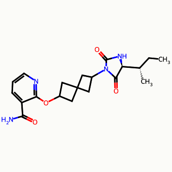 CC[C@H](C)[C@@H]1NC(=O)N(C2CC3(CC(Oc4ncccc4C(N)=O)C3)C2)C1=O